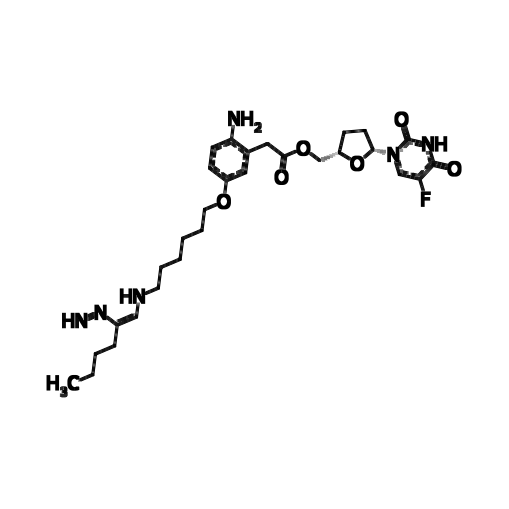 CCCC/C(=C/NCCCCCCOc1ccc(N)c(CC(=O)OC[C@@H]2CC[C@H](n3cc(F)c(=O)[nH]c3=O)O2)c1)N=N